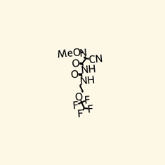 CON=C(C#N)C(=O)NC(=O)NCCOC(F)(F)C(F)F